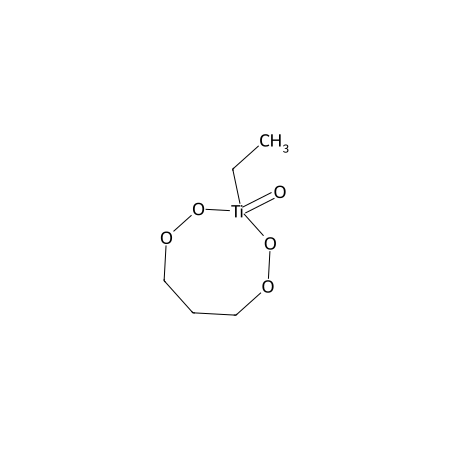 C[CH2][Ti]1(=[O])[O]OCCCO[O]1